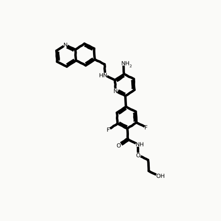 Nc1ccc(-c2cc(F)c(C(=O)NOCCO)c(F)c2)nc1NCc1ccc2ncccc2c1